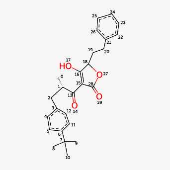 C[C@@H](Cc1ccc(C(C)(C)C)cc1)C(=O)C1=C(O)C(CCc2ccccc2)OC1=O